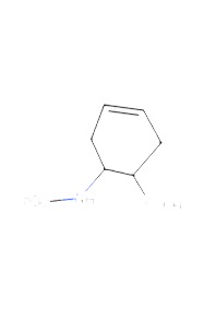 CCCCNC1CC=CCC1C(=O)O